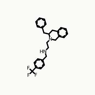 FC(F)(F)c1ccc(CNCCN2Cc3ccccc3CC2Cc2ccccc2)cc1